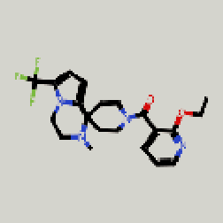 CCOc1ncccc1C(=O)N1CCC2(CC1)c1ccc(C(F)(F)F)n1CCN2C